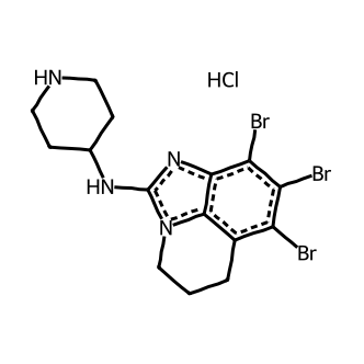 Brc1c(Br)c2c3c(nc(NC4CCNCC4)n3CCC2)c1Br.Cl